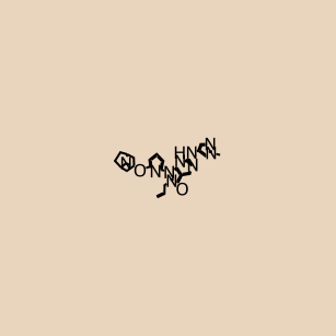 C=CCn1c(=O)c2cnc(Nc3cnn(C)c3)nc2n1-c1cccc(OC2CC3CCC(C2)N3C)n1